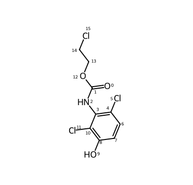 O=C(Nc1c(Cl)ccc(O)c1Cl)OCCCl